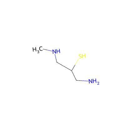 CNCC(S)CN